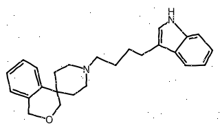 c1ccc2c(c1)COCC21CCN(CCCCc2c[nH]c3ccccc23)CC1